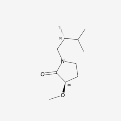 CO[C@@H]1CCN(C[C@H](C)C(C)C)C1=O